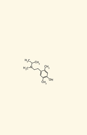 Cc1cc(CCN(C)C(C)C)c(C)cc1O